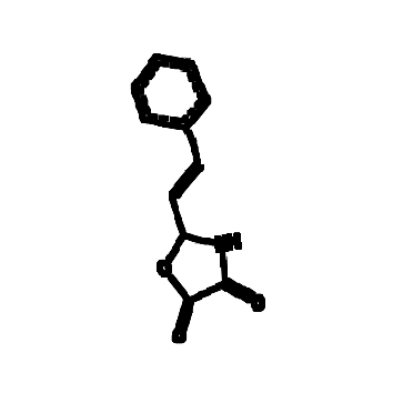 O=C1NC(C=Cc2ccccc2)OC1=O